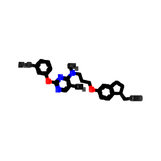 COc1cccc(Oc2ncc(C)c(N(C)CCCOc3ccc4c(c3)CC[C@H]4CC=O)n2)c1